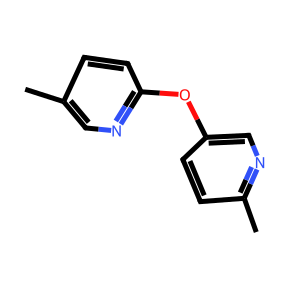 Cc1ccc(Oc2ccc(C)nc2)nc1